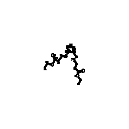 CCOC(=O)CCSCc1nnsc1SCCC(=O)OCC